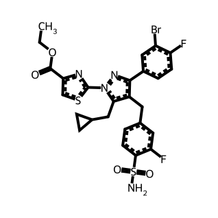 CCOC(=O)c1csc(-n2nc(-c3ccc(F)c(Br)c3)c(Cc3ccc(S(N)(=O)=O)c(F)c3)c2CC2CC2)n1